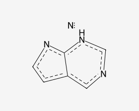 [N].c1cc2cnc[nH]c-2n1